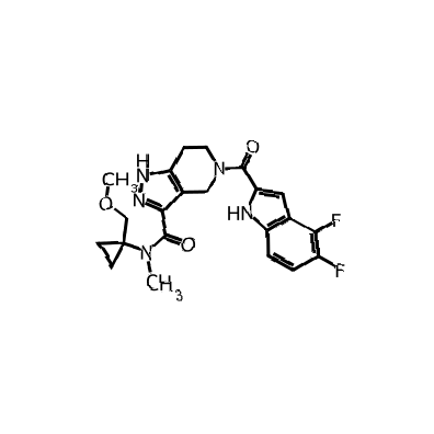 COCC1(N(C)C(=O)c2n[nH]c3c2CN(C(=O)c2cc4c(F)c(F)ccc4[nH]2)CC3)CC1